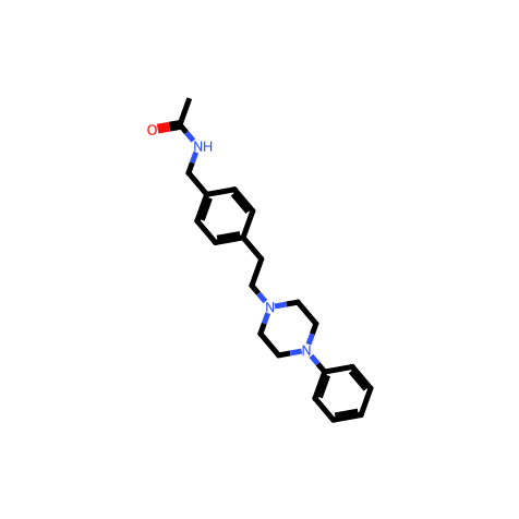 CC(=O)NCc1ccc(CCN2CCN(c3ccccc3)CC2)cc1